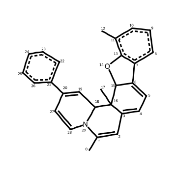 CC1=CC2=CC=C3c4cccc(C)c4OC3C2(C)C2C=C(c3ccccc3)C=CN12